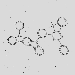 CC1(C)c2ccccc2-c2nc(-c3ccccc3)nc(-c3cccc(-n4c5ccccc5c5cc6c7ccccc7n(-c7ccccc7)c6cc54)c3)c21